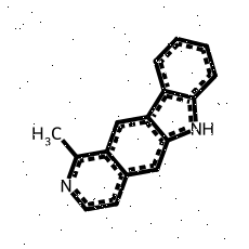 Cc1nccc2cc3[nH]c4ccccc4c3cc12